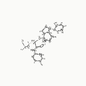 Cc1ccc(NC(=O)[C@H](COC(C)C)Oc2ncnc3c2cnn3-c2cnccc2C)nc1